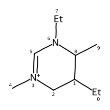 CCC1C[N+](C)=CN(CC)C1C